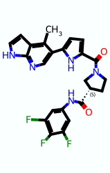 Cc1c(-c2ccc(C(=O)N3CC[C@H](C(=O)Nc4cc(F)c(F)c(F)c4)C3)[nH]2)cnc2[nH]ccc12